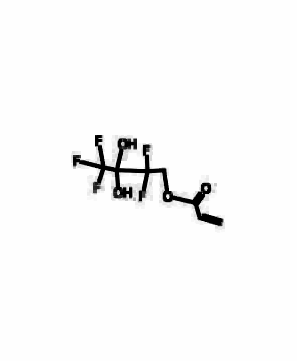 C=CC(=O)OCC(F)(F)C(O)(O)C(F)(F)F